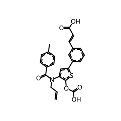 C=CCN(C(=O)c1ccc(C)cc1)c1cc(-c2cccc(C=CC(=O)O)c2)sc1OC(=O)O